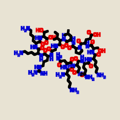 CCC(C)C(NC(=O)C(CC(C)C)NC(=O)C1CCCN1C(=O)C(CCC(=O)O)NC(=O)C(CO)NC(=O)C(CCCCN)NC(=O)C(CCC(N)=O)NC(=O)C(CC(N)=O)NC(=O)C(CC(N)=O)NC(=O)C(N)CCCCN)C(=O)NCC(=O)NC(CCCNC(=N)N)C(=O)NC(CCCCN)C(=O)NC(CCCCN)C(=O)NC(C(=O)O)C(C)O